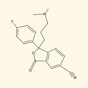 CN(C)CCCC1(c2ccc(F)cc2)OC(=O)c2cc(C#N)ccc21